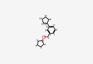 c1cc(COC2CCCC2)cc(C2CCCC2)c1